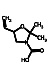 C=CC1CN(C(=O)O)C(C)(C)O1